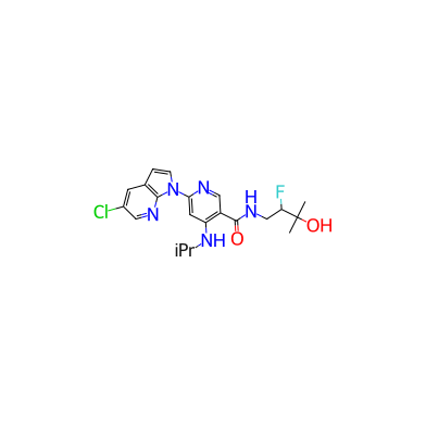 CC(C)Nc1cc(-n2ccc3cc(Cl)cnc32)ncc1C(=O)NCC(F)C(C)(C)O